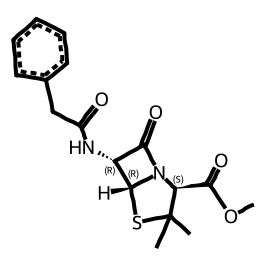 COC(=O)[C@@H]1N2C(=O)[C@@H](NC(=O)Cc3ccccc3)[C@H]2SC1(C)C